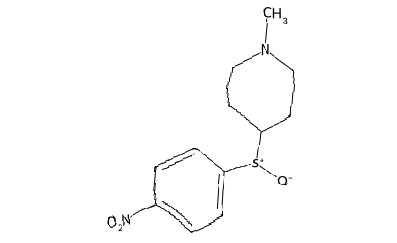 CN1CCC([S+]([O-])c2ccc([N+](=O)[O-])cc2)CC1